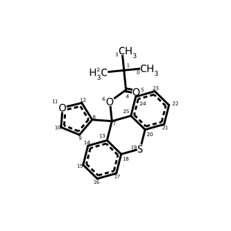 CC(C)(C)C(=O)OC1(c2ccoc2)c2ccccc2Sc2ccccc21